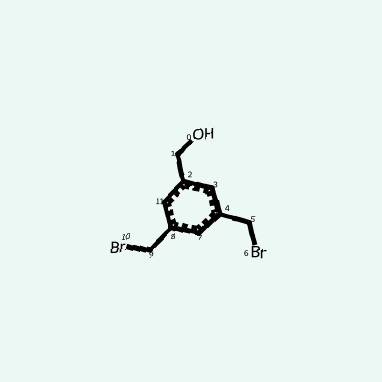 OCc1cc(CBr)cc(CBr)c1